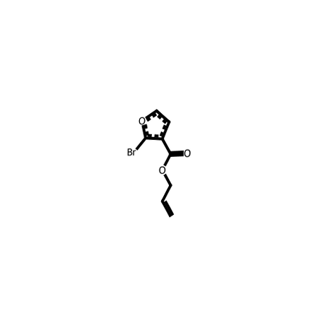 C=CCOC(=O)c1ccoc1Br